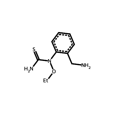 CCON(C(N)=S)c1ccccc1CN